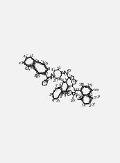 CN(C(=O)c1cc2ccccc2cc1C(=O)C(c1cccc2ccccc12)P(C)(=O)O)C1CCN(C(=O)c2ccc3ccccc3c2)CC1